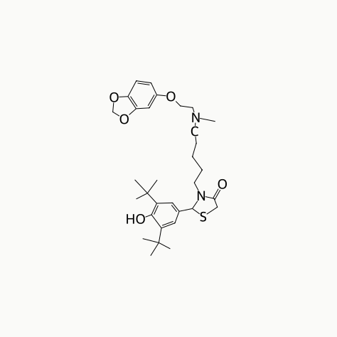 CN(CCCCCN1C(=O)CSC1c1cc(C(C)(C)C)c(O)c(C(C)(C)C)c1)CCOc1ccc2c(c1)OCO2